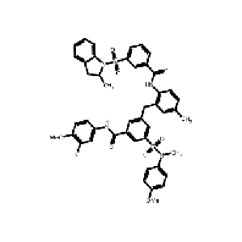 COc1ccc(N(C)S(=O)(=O)c2cc(Cc3cc(C)ccc3NC(=O)c3cccc(S(=O)(=O)N4c5ccccc5CC4C)c3)cc(C(=O)Nc3ccc(OC)c(Cl)c3)c2)cc1